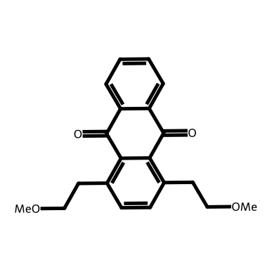 COCCc1ccc(CCOC)c2c1C(=O)c1ccccc1C2=O